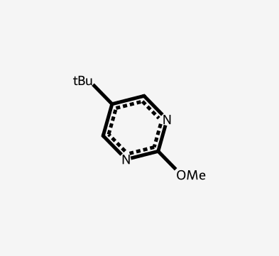 COc1ncc(C(C)(C)C)cn1